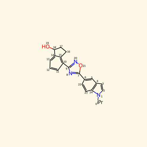 CC(C)n1ccc2cc(-c3nc(-c4cccc5c4CCC5O)no3)ccc21